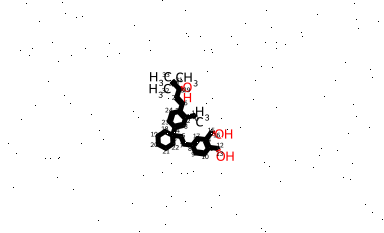 CCc1cc(C2(CCc3ccc(CO)c(CO)c3)CCCCC2)ccc1C=CC(O)C(C)(C)C